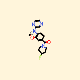 O=C(c1ccc2c(c1)OCCN2c1cnccn1)N1CCC(F)CC1